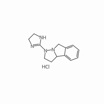 Cl.c1ccc2c(c1)CN1C2CCN1C1=NCCN1